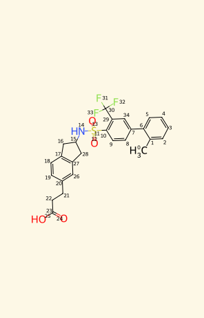 Cc1ccccc1-c1ccc(S(=O)(=O)NC2Cc3ccc(CCC(=O)O)cc3C2)c(C(F)(F)F)c1